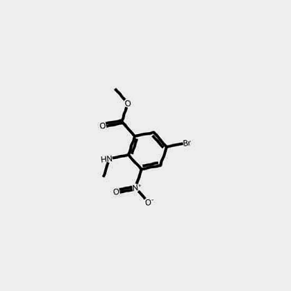 CNc1c(C(=O)OC)cc(Br)cc1[N+](=O)[O-]